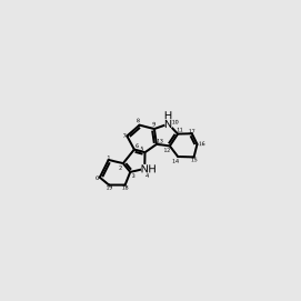 C1=Cc2c([nH]c3c2ccc2[nH]c4c(c23)CCC=C4)CC1